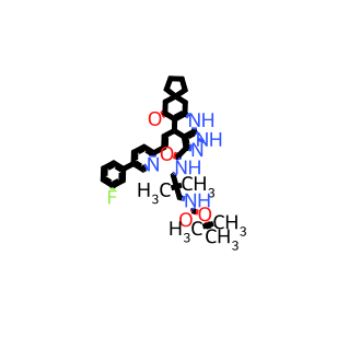 CC(C)(CNC(=O)OC(C)(C)C)CNC(=O)c1n[nH]c2c1C(/C=C/c1ccc(-c3cccc(F)c3)cn1)C1=C(CC3(CCCC3)CC1=O)N2